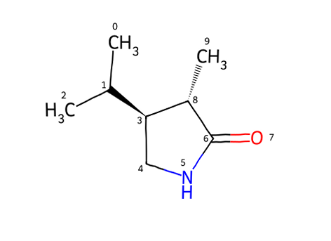 CC(C)[C@@H]1CNC(=O)[C@H]1C